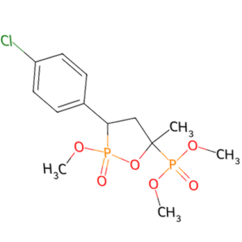 COP1(=O)OC(C)(P(=O)(OC)OC)CC1c1ccc(Cl)cc1